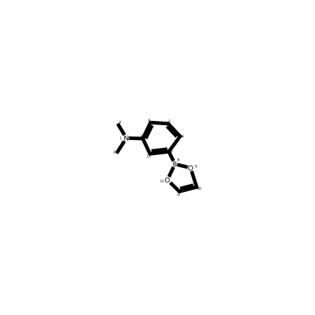 CN(C)c1cccc(B2OC=CO2)c1